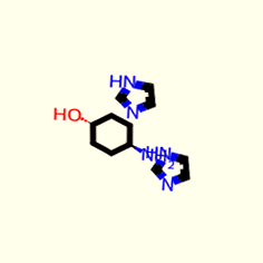 N[C@H]1CC[C@H](O)CC1.c1c[nH]cn1.c1c[nH]cn1